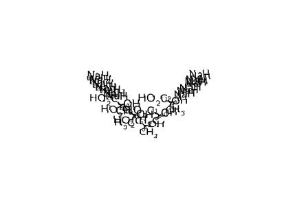 CC(O)C(=O)O.CC(O)C(=O)O.CC(O)C(=O)O.CC(O)C(=O)O.CC(O)C(=O)O.[NaH].[NaH].[NaH].[NaH].[NaH].[NaH].[NaH].[NaH].[NaH].[NaH].[NaH].[NaH].[NaH]